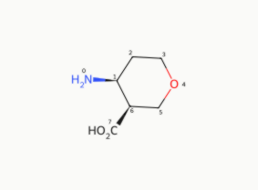 N[C@H]1CCOC[C@H]1C(=O)O